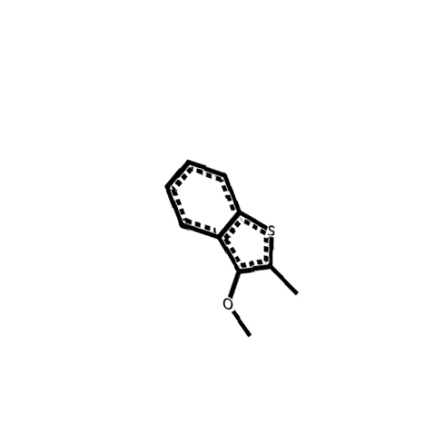 COc1c(C)sc2ccccc12